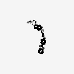 O=C(O)C[C@@H]1CCc2cc(OCCCOc3ccc(-c4nc5c(s4)CCCC5)cc3)ccc21